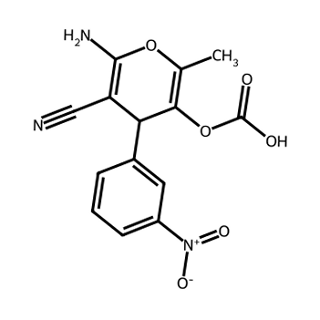 CC1=C(OC(=O)O)C(c2cccc([N+](=O)[O-])c2)C(C#N)=C(N)O1